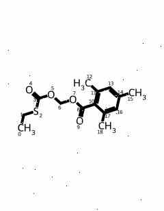 CCSC(=O)OCOC(=O)c1c(C)cc(C)cc1C